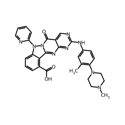 Cc1cc(Nc2ncc3c(=O)n4c(nc3n2)c2c(C(=O)O)cccc2n4-c2ccccn2)ccc1N1CCN(C)CC1